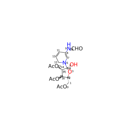 CC(=O)OC[C@H]1O[C@](O)(N2C=C(NC=O)C=CC2)[C@H](OC(C)=O)[C@@H]1OC(C)=O